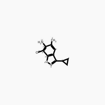 Cc1cc2c(C3CC3)noc2c(Cl)c1N